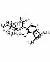 COc1c(C(O[Si](C)(C)C(C)(C)C)C(F)(F)F)ccc2c1c(N)nn2C